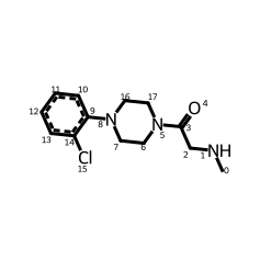 CNCC(=O)N1CCN(c2ccccc2Cl)CC1